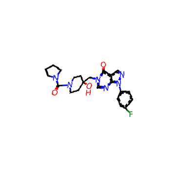 O=C(N1CCCC1)N1CCC(O)(Cn2cnc3c(cnn3-c3ccc(F)cc3)c2=O)CC1